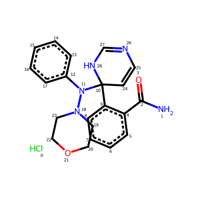 Cl.NC(=O)c1ccccc1C1(N(c2ccccc2)N2CCOCC2)C=CN=CN1